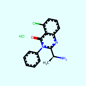 C[C@H](N)c1nc2cccc(Cl)c2c(=O)n1-c1ccccc1.Cl